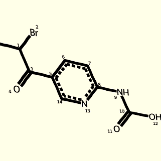 CC(Br)C(=O)c1ccc(NC(=O)O)nc1